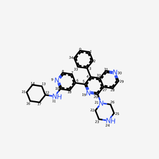 c1ccc(-c2c(-c3ccnc(NC4CCCCC4)c3)nc(N3CCNCC3)c3ccncc23)cc1